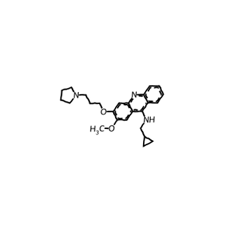 COc1cc2c(NCC3CC3)c3ccccc3nc2cc1OCCCN1CCCC1